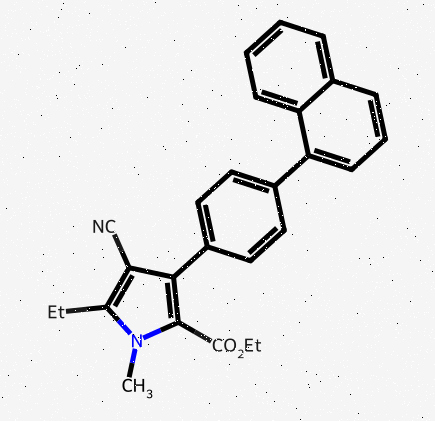 CCOC(=O)c1c(-c2ccc(-c3cccc4ccccc34)cc2)c(C#N)c(CC)n1C